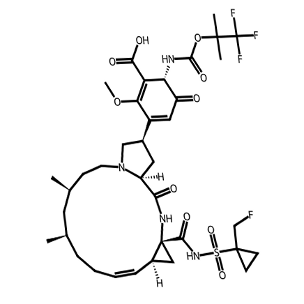 COC1=C(C(=O)O)[C@H](NC(=O)OC(C)(C)C(F)(F)F)C(=O)C=C1[C@H]1C[C@H]2C(=O)N[C@]3(C(=O)NS(=O)(=O)C4(CF)CC4)C[C@H]3/C=C\CC[C@@H](C)C[C@@H](C)CCN2C1